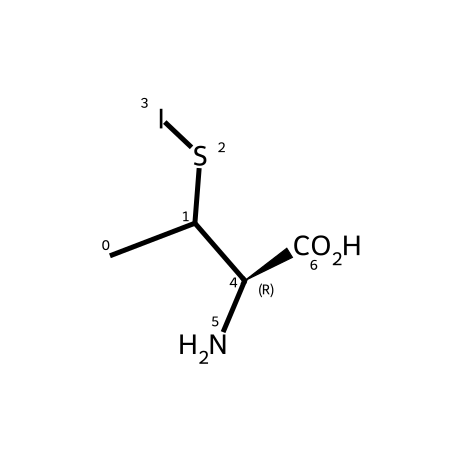 CC(SI)[C@H](N)C(=O)O